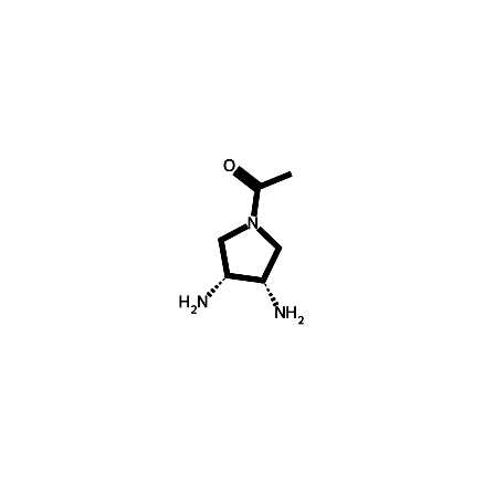 CC(=O)N1C[C@@H](N)[C@@H](N)C1